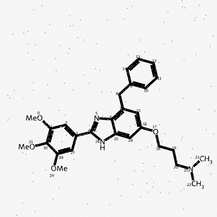 COc1cc(-c2nc3c(Cc4ccccc4)cc(OCCCN(C)C)cc3[nH]2)cc(OC)c1OC